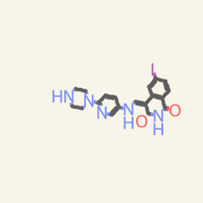 O=C1NC(=O)c2ccc(I)cc2/C1=C/Nc1ccc(N2CCNCC2)nc1